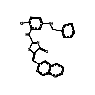 O=C1N=C(Nc2cc(NCc3ccccc3)ccc2Cl)SC1=Cc1ccc2ncccc2c1